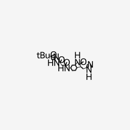 CC(C)(C)c1cc(NC(=O)CC(=O)Nc2ccc3c(c2)NC(=O)/C3=C\c2cnc[nH]2)no1